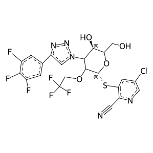 N#Cc1ncc(Cl)cc1S[C@H]1OC(CO)[C@H](O)C(n2cc(-c3cc(F)c(F)c(F)c3)nn2)C1OCC(F)(F)F